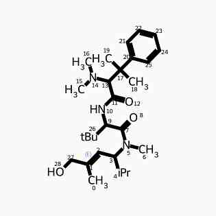 C/C(=C\C(C(C)C)N(C)C(=O)C(NC(=O)C(N(C)C)C(C)(C)c1ccccc1)C(C)(C)C)CO